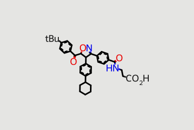 CC(C)(C)c1ccc(C(=O)C2ON=C(c3ccc(C(=O)NCCC(=O)O)cc3)C2c2ccc(C3CCCCC3)cc2)cc1